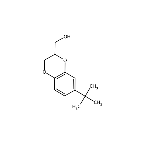 CC(C)(C)c1ccc2c(c1)OC(CO)CO2